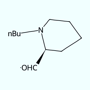 CCCCN1CCCC[C@H]1[C]=O